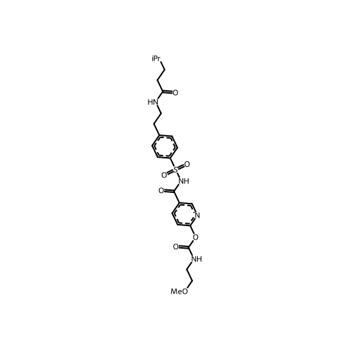 COCCNC(=O)Oc1ccc(C(=O)NS(=O)(=O)c2ccc(CCNC(=O)CCC(C)C)cc2)cn1